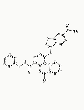 N=C(N)c1ccc2c(c1)CCN2Cc1ccc(C(=O)NCc2ccccc2)cc1-c1ccccc1C(=O)O